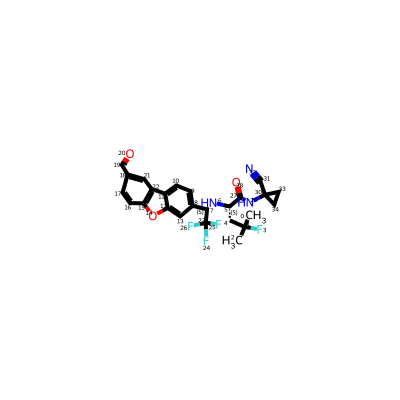 CC(C)(F)C[C@H](N[C@@H](c1ccc2c(c1)oc1ccc(C=O)cc12)C(F)(F)F)C(=O)NC1(C#N)CC1